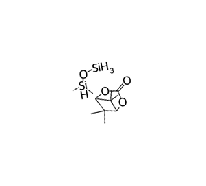 CC1(C)C2OC(=O)OC1C2(C)C.C[SiH](C)O[SiH3]